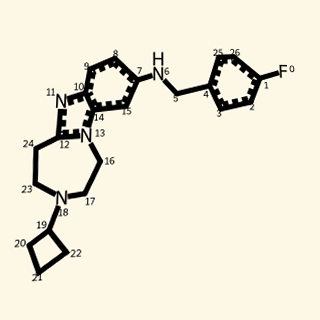 Fc1ccc(CNc2ccc3nc4n(c3c2)CCN(C2CCC2)CC4)cc1